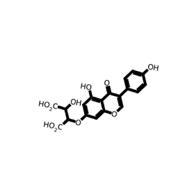 O=C(O)C(O)C(Oc1cc(O)c2c(=O)c(-c3ccc(O)cc3)coc2c1)C(=O)O